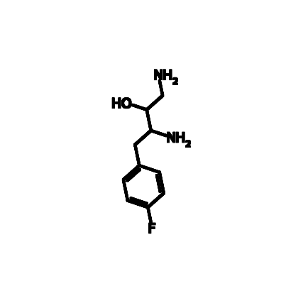 NCC(O)C(N)Cc1ccc(F)cc1